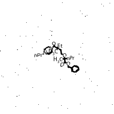 CCCN1CCN(C(=O)C(C)(CC)CCOC(C)(CCC)C(=O)OCc2ccccc2)CC1